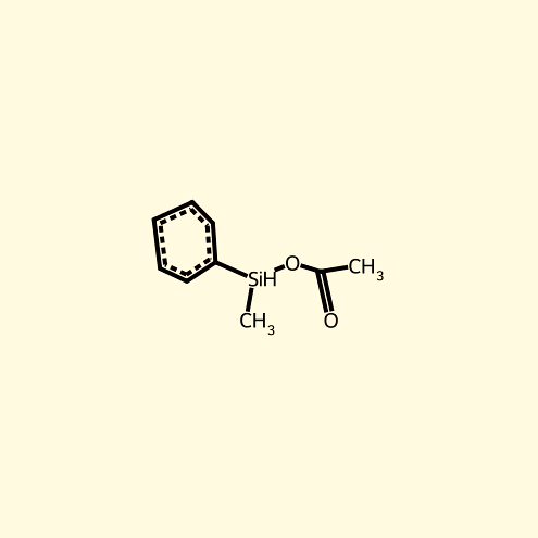 CC(=O)O[SiH](C)c1ccccc1